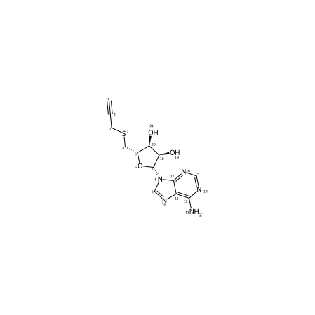 C#CCSC[C@H]1O[C@@H](n2cnc3c(N)ncnc32)[C@H](O)[C@@H]1O